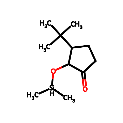 C[SiH](C)OC1C(=O)CCC1C(C)(C)C